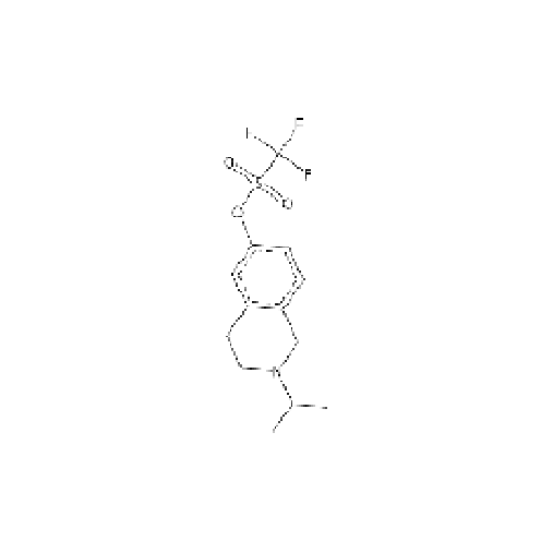 CC(C)N1CCc2cc(OS(=O)(=O)C(F)(F)F)ccc2C1